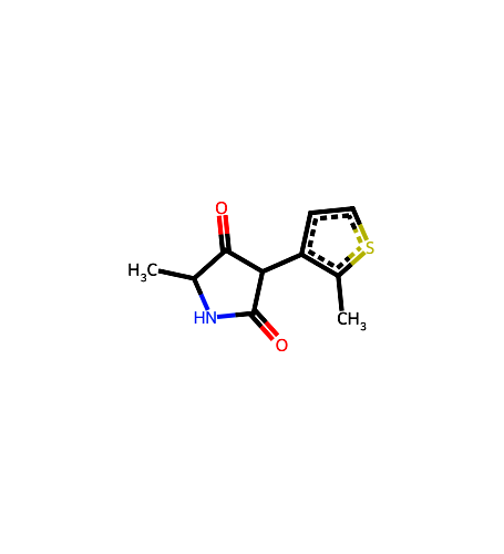 Cc1sccc1C1C(=O)NC(C)C1=O